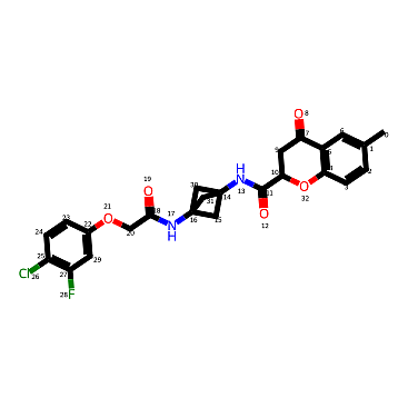 Cc1ccc2c(c1)C(=O)CC(C(=O)NC13CC(NC(=O)COc4ccc(Cl)c(F)c4)(C1)C3)O2